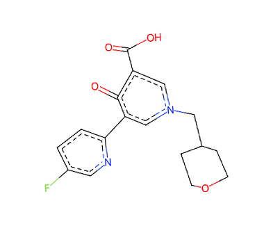 O=C(O)c1cn(CC2CCOCC2)cc(-c2ccc(F)cn2)c1=O